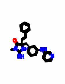 CN1C(=N)N[C@](CCc2ccccc2)(C[C@H]2CCC[C@@H](Nc3cccnc3)C2)C1=O